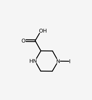 O=C(O)C1CN(I)CCN1